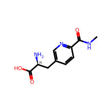 CNC(=O)c1ccc(C[C@H](N)C(=O)O)cn1